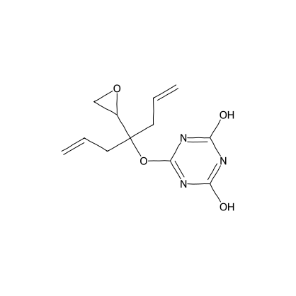 C=CCC(CC=C)(Oc1nc(O)nc(O)n1)C1CO1